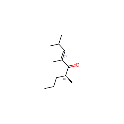 CCC[C@H](C)C(=O)/C(C)=C/C(C)C